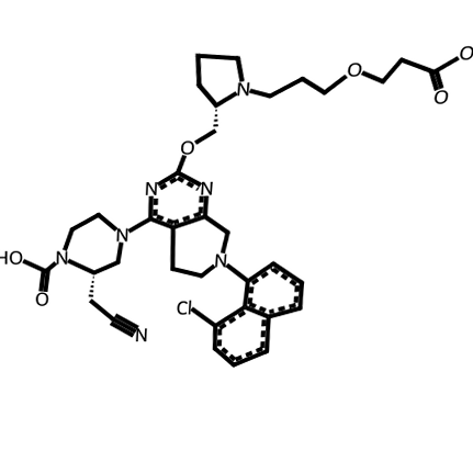 COC(=O)CCOCCCN1CCC[C@H]1COc1nc2c(c(N3CCN(C(=O)O)[C@@H](CC#N)C3)n1)CCN(c1cccc3cccc(Cl)c13)C2